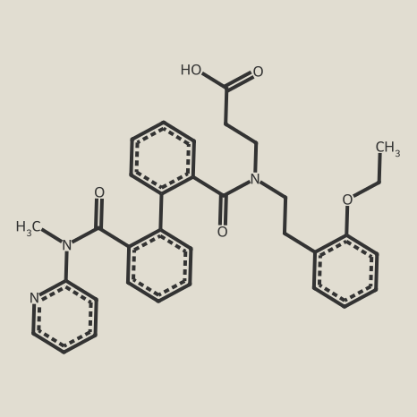 CCOc1ccccc1CCN(CCC(=O)O)C(=O)c1ccccc1-c1ccccc1C(=O)N(C)c1ccccn1